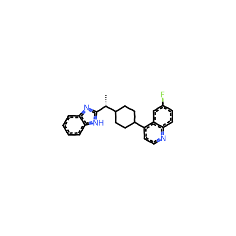 C[C@@H](c1nc2ccccc2[nH]1)C1CCC(c2ccnc3ccc(F)cc23)CC1